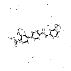 COc1cc(-c2ccc(NCc3cccc(C)c3)nc2)ccc1C(=O)O